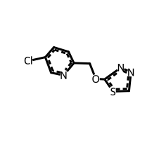 Clc1ccc(COc2nncs2)nc1